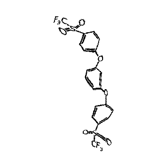 O=S(=O)(c1ccc(Oc2cccc(Oc3ccc(S(=O)(=O)C(F)(F)F)cc3)c2)cc1)C(F)(F)F